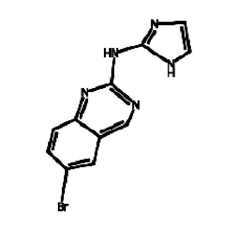 Brc1ccc2nc(Nc3ncc[nH]3)ncc2c1